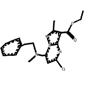 CCOC(=O)c1c(C)nn2c(N(C)Cc3ccccc3)cc(Cl)nc12